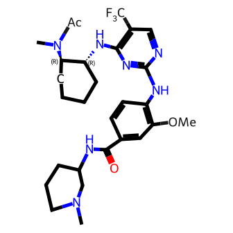 COc1cc(C(=O)NC2CCCN(C)C2)ccc1Nc1ncc(C(F)(F)F)c(N[C@@H]2CCCC[C@H]2N(C)C(C)=O)n1